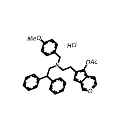 COc1ccc(CN(CCc2cc3coccc-3c2OC(C)=O)CC(c2ccccc2)c2ccccc2)cc1.Cl